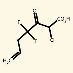 C=CCC(F)(F)C(=O)C(Cl)C(=O)O